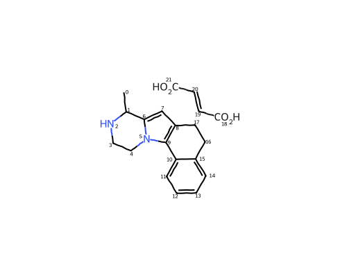 CC1NCCn2c1cc1c2-c2ccccc2CC1.O=C(O)C=CC(=O)O